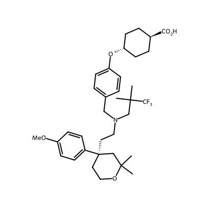 COc1ccc([C@]2(CCN(Cc3ccc(O[C@H]4CC[C@H](C(=O)O)CC4)cc3)CC(C)(C)C(F)(F)F)CCOC(C)(C)C2)cc1